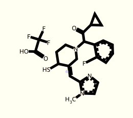 Cn1ccnc1/C=C1\CN(C(C(=O)C2CC2)c2ccccc2F)CCC1S.O=C(O)C(F)(F)F